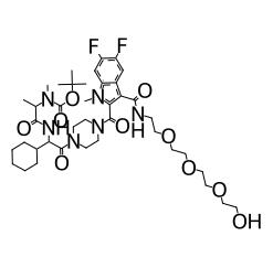 CC(C(=O)NC(C(=O)N1CCN(C(=O)c2c(C(=O)NCCOCCOCCOCCO)c3cc(F)c(F)cc3n2C)CC1)C1CCCCC1)N(C)C(=O)OC(C)(C)C